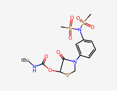 CC(C)(C)NC(=O)OC1SCN(c2cccc(N(S(C)(=O)=O)S(C)(=O)=O)c2)C1=O